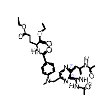 C=C(/C=c1/ncc(CN(C)c2ccc(C(=O)NC(CCC(=O)OCC)C(=O)OCC)cc2)n/c1=C(/N)NC(C)=O)NC(C)=O